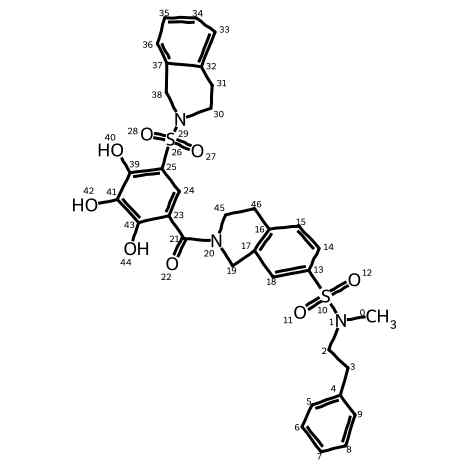 CN(CCc1ccccc1)S(=O)(=O)c1ccc2c(c1)CN(C(=O)c1cc(S(=O)(=O)N3CCc4ccccc4C3)c(O)c(O)c1O)CC2